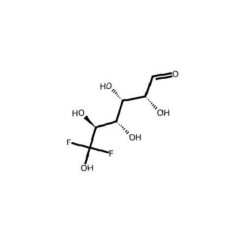 O=C[C@H](O)[C@@H](O)[C@H](O)[C@H](O)C(O)(F)F